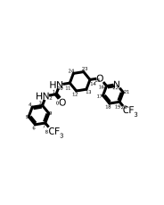 O=C(Nc1cccc(C(F)(F)F)c1)NC1CCC(Oc2ccc(C(F)(F)F)cn2)CC1